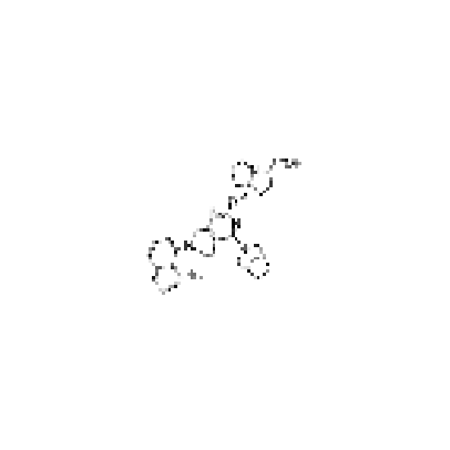 CCc1cccc2cccc(N3CCc4c(nc(OCC56CCCN5[C@@H](CO)CC6)nc4N4CC5CCC(C5)C4)C3)c12